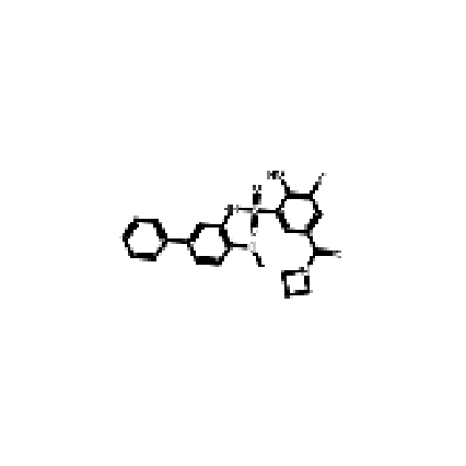 COc1ccc(-c2ccccc2)cc1NS(=O)(=O)c1cc(C(=O)N2CCC2)cc(Cl)c1O